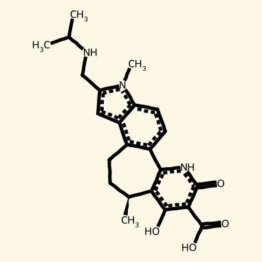 CC(C)NCc1cc2c3c(ccc2n1C)-c1[nH]c(=O)c(C(=O)O)c(O)c1[C@@H](C)CC3